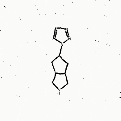 c1cn(C2CC3CNCC3C2)nn1